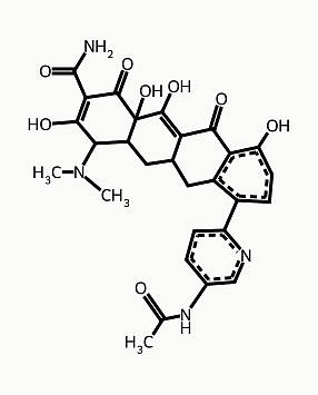 CC(=O)Nc1ccc(-c2ccc(O)c3c2CC2CC4C(N(C)C)C(O)=C(C(N)=O)C(=O)C4(O)C(O)=C2C3=O)nc1